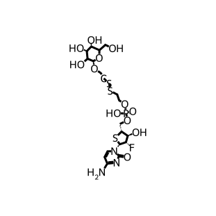 Nc1ccn([C@@H]2S[C@H](COP(=O)(O)OCCSSCCO[C@@H]3OC(CO)[C@@H](O)[C@H](O)C3O)[C@@H](O)[C@@H]2F)c(=O)n1